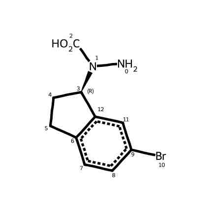 NN(C(=O)O)[C@@H]1CCc2ccc(Br)cc21